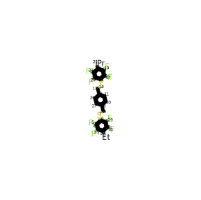 CCc1c(F)c(F)c(SCc2ccc(CSc3c(F)c(F)c(C(C)C)c(F)c3F)cc2)c(F)c1F